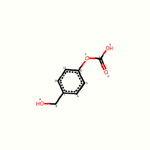 O=C(O)Oc1ccc(CO)cc1